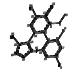 CCn1c(-c2c(F)cc(F)cc2F)c(-c2ocnc2Cl)cc(Cl)c1=O